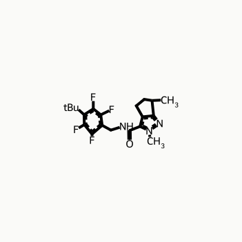 CC1CCc2c1nn(C)c2C(=O)NCc1c(F)c(F)c(C(C)(C)C)c(F)c1F